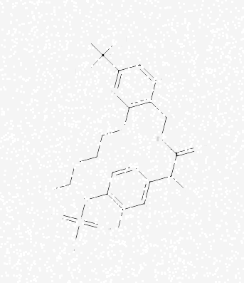 CCOCCOc1nc(C(C)(C)C)ccc1CNC(=O)C(C)c1ccc(NS(C)(=O)=O)c(F)c1